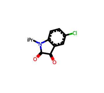 CC(C)N1C(=O)C(=O)c2cc(Cl)ccc21